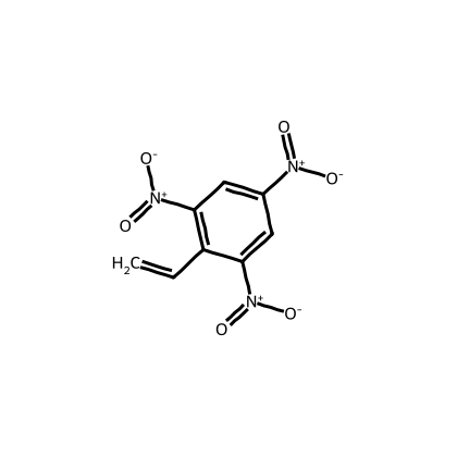 C=Cc1c([N+](=O)[O-])cc([N+](=O)[O-])cc1[N+](=O)[O-]